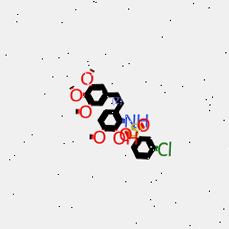 COc1ccc(/C=C\c2cc(OC)c(OC)c(OC)c2)c(NS(=O)(=O)c2cccc(Cl)c2)c1O